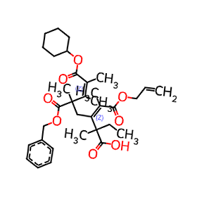 C=CCOC(=O)/C(C)=C(/CC(C)(C(=O)OCc1ccccc1)/C(C)=C(/C)C(=O)OC1CCCCC1)C(C)(CC)C(=O)O